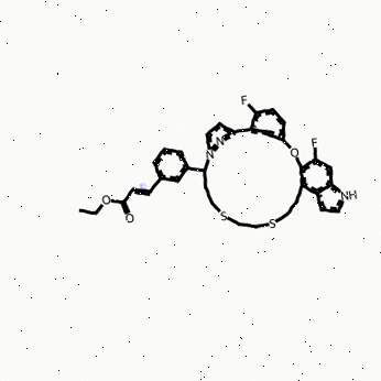 CCOC(=O)/C=C/c1cccc(C2CCSCCSCCc3c(c(F)cc4[nH]ccc34)Oc3ccc(F)c(c3)-c3ccn2n3)c1